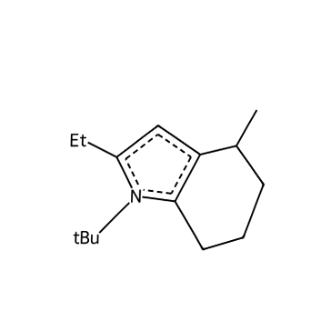 CCc1cc2c(n1C(C)(C)C)CCCC2C